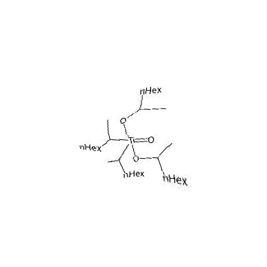 CCCCCCC(C)[O][Ti](=[O])([O]C(C)CCCCCC)([CH](C)CCCCCC)[CH](C)CCCCCC